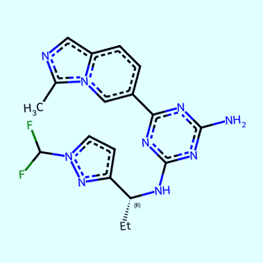 CC[C@@H](Nc1nc(N)nc(-c2ccc3cnc(C)n3c2)n1)c1ccn(C(F)F)n1